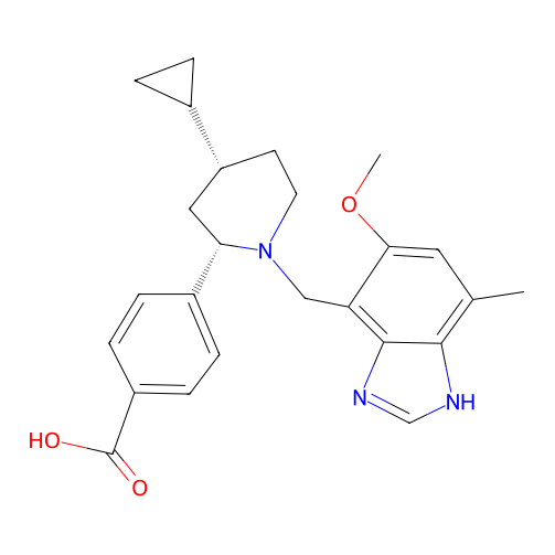 COc1cc(C)c2[nH]cnc2c1CN1CC[C@@H](C2CC2)C[C@H]1c1ccc(C(=O)O)cc1